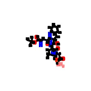 BP(C)C(=O)CNC(=O)C(CC(C)C)NC(=O)C(Cc1ccccc1)NC(=O)CNC(=O)OC(C)(C)C